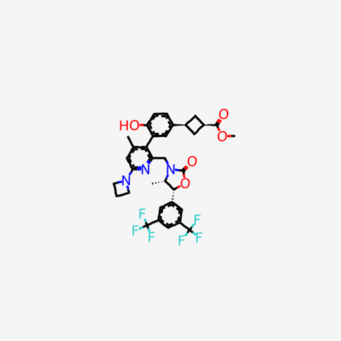 COC(=O)[C@H]1C[C@@H](c2ccc(O)c(-c3c(C)cc(N4CCC4)nc3CN3C(=O)O[C@H](c4cc(C(F)(F)F)cc(C(F)(F)F)c4)[C@@H]3C)c2)C1